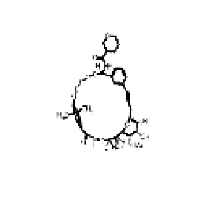 CC(=O)N[C@H]1C2O[C@](C(=O)O)(C/C=C/c3cccc(c3)[C@@H](NC(=O)C3CCCOC3)CCCCOc3c(C)cc(cc3C)C(=O)NC[C@@H](O)[C@H]2O)C[C@@H]1O